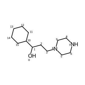 OC(CCN1CCNCC1)C1CCCCC1